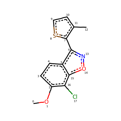 COc1ccc2c(-c3sccc3C)noc2c1Cl